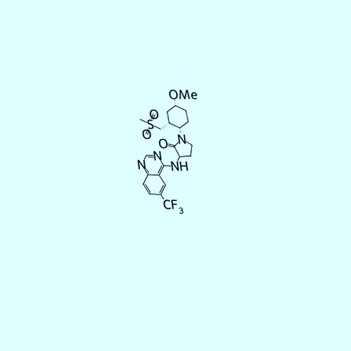 CO[C@@H]1CC[C@H](N2CCC(Nc3ncnc4ccc(C(F)(F)F)cc34)C2=O)[C@H](CS(C)(=O)=O)C1